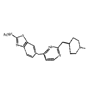 CC(=O)Nc1nc2ccc(-c3ccnc(CC4CCN(C)CC4)n3)cc2s1